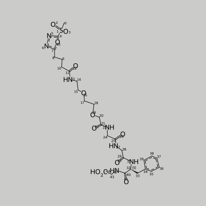 CS(=O)(=O)c1nnc(CCCC(=O)NCCOCCOCC(=O)NCC(=O)NCC(=O)N[C@@H](Cc2ccccc2)C(=O)NCC(=O)O)o1